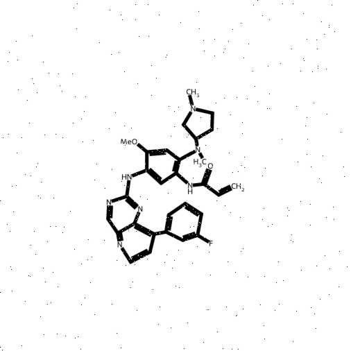 C=CC(=O)Nc1cc(Nc2ncc3nccc(-c4cccc(F)c4)c3n2)c(OC)cc1N(C)C1CCN(C)C1